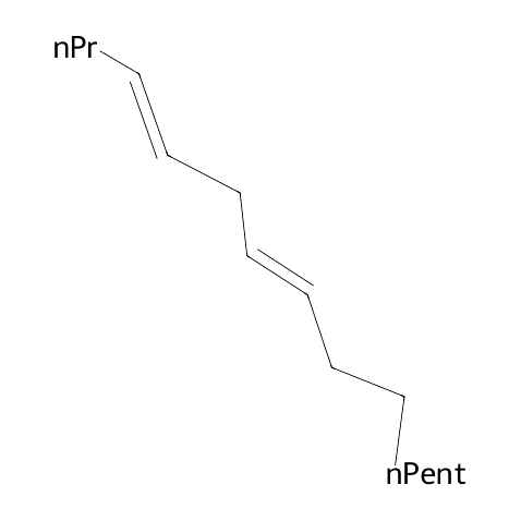 CCC/C=C/C/C=C/CCCCCCC